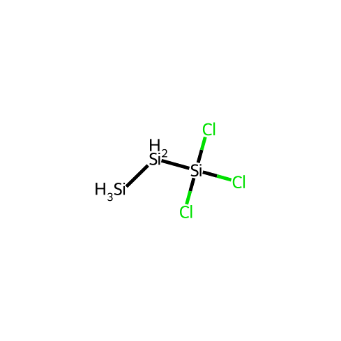 [SiH3][SiH2][Si](Cl)(Cl)Cl